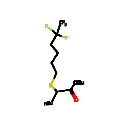 CCCCC(SCCCCC(F)(F)C(F)(F)F)C(=O)OCC(C)C